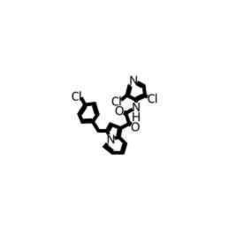 O=C(Nc1c(Cl)cncc1Cl)C(=O)c1cc(Cc2ccc(Cl)cc2)n2ccccc12